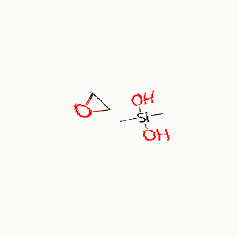 C1CO1.C[Si](C)(O)O